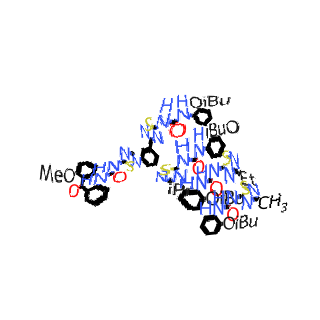 CC(C)COc1ccccc1NC(=O)Nc1nc(-c2ccccc2)ns1.CC(C)COc1ccccc1NC(=O)Nc1nc(C(C)C)ns1.CCc1nsc(NC(=O)Nc2ccccc2OCC(C)C)n1.COc1ccccc1C(=O)c1ccccc1NC(=O)Nc1ncns1.Cc1nsc(NC(=O)Nc2ccccc2OCC(C)C)n1